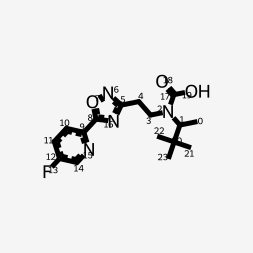 CC(N(CCc1noc(-c2ccc(F)cn2)n1)C(=O)O)C(C)(C)C